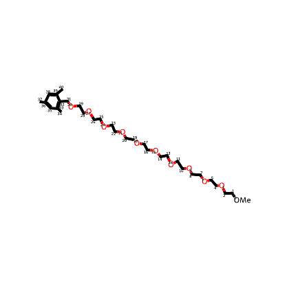 COCCOCCOCCOCCOCCOCCOCCOCCOCCOCCOCc1c(C)cc(C)cc1C